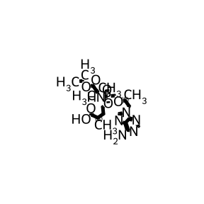 CC(C)OC(=O)C(C)(C)NP(=O)(CO[C@@H](C)Cn1cnc2c(N)ncnc21)OCC[C@H](C)C(=O)O